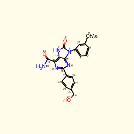 COc1cccc(-n2c(=O)[nH]c3c(C(N)=O)nc(-c4ccc(CO)cc4)nc32)c1